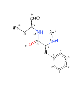 [2H]N[C@@H](Cc1ccccc1)C(=O)N[C@H](C=O)CC(C)C